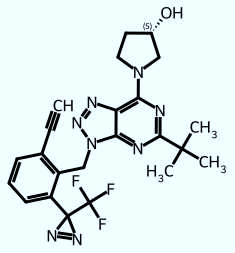 C#Cc1cccc(C2(C(F)(F)F)N=N2)c1Cn1nnc2c(N3CC[C@H](O)C3)nc(C(C)(C)C)nc21